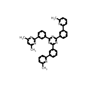 Cc1cccc(-c2cccc(-c3nc(-c4cccc(-c5cccc(C)n5)c4)nc(-c4cccc(-c5nc(C)cc(C)n5)c4)n3)c2)n1